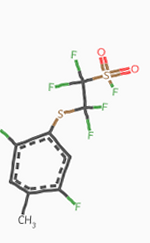 Cc1cc(F)c(SC(F)(F)C(F)(F)S(=O)(=O)F)cc1F